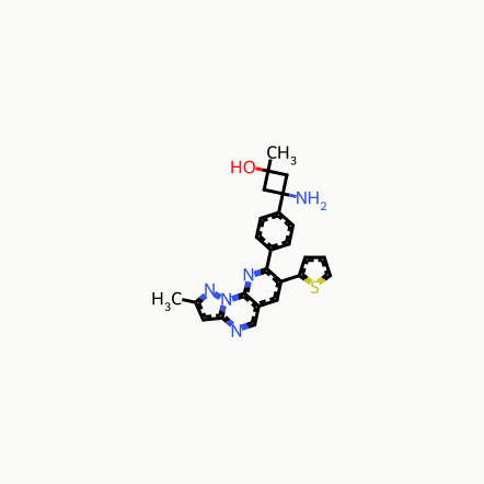 Cc1cc2ncc3cc(-c4cccs4)c(-c4ccc(C5(N)CC(C)(O)C5)cc4)nc3n2n1